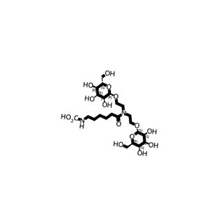 O=C(O)NCCCCCC(=O)N(CCO[C@H]1O[C@H](CO)[C@@H](O)[C@H](O)[C@@H]1O)CCO[C@@H]1O[C@@H](CO)[C@H](O)[C@@H](O)[C@H]1O